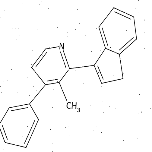 Cc1c(-c2ccccc2)ccnc1C1=CCc2ccccc21